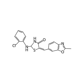 Cc1nc2ccc(C=C3SC(Nc4ccccc4Cl)NC3=O)cc2o1